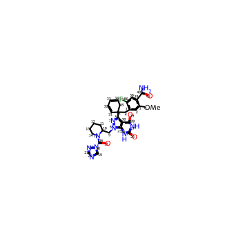 COc1cc(CC2(c3nn(CC4CCCCN4C(=O)n4cncn4)c4[nH]c(=O)[nH]c(=O)c34)C=CC=CC2)c(F)cc1C(N)=O